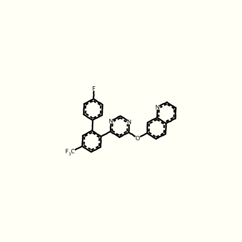 Fc1ccc(-c2cc(C(F)(F)F)ccc2-c2cc(Oc3ccc4cccnc4c3)ncn2)cc1